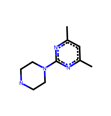 Cc1cc(C)nc(N2CC[N]CC2)n1